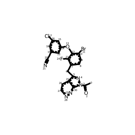 CC(=O)n1nc(Cc2ccc(Br)c(Oc3cc(Cl)cc(C#N)c3)c2F)c2ccnnc21